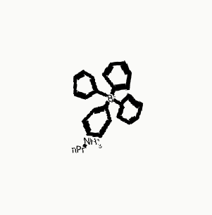 CCC[NH3+].c1ccc([B-](c2ccccc2)(c2ccccc2)c2ccccc2)cc1